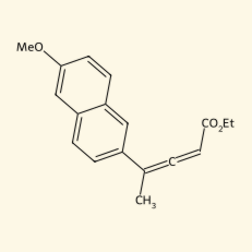 CCOC(=O)C=C=C(C)c1ccc2cc(OC)ccc2c1